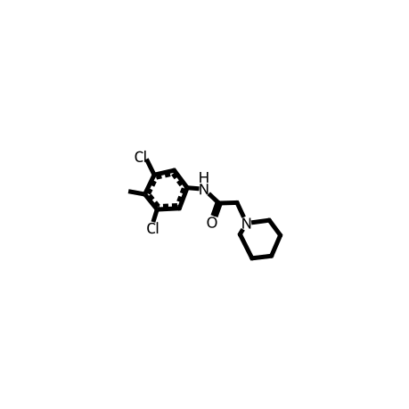 Cc1c(Cl)cc(NC(=O)CN2CCCCC2)cc1Cl